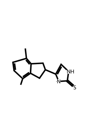 Cc1ccc(C)c2c1CC(C1=CNC(=S)[N]1)C2